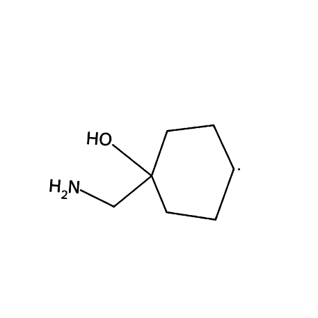 NCC1(O)CC[CH]CC1